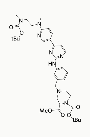 COC(=O)C1CN(Cc2cccc(Nc3nccc(-c4ccc(N(C)CCN(C)C(=O)OC(C)(C)C)nc4)n3)c2)CCN1C(=O)OC(C)(C)C